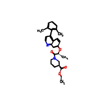 CCOC(=O)[C@H]1CCCN(C(=O)[C@@H](C)Oc2ccc3c(-c4c(C)cccc4C)ccnc3c2)C1